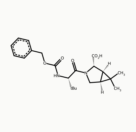 CC(C)(C)[C@H](NC(=O)OCc1ccccc1)C(=O)N1C[C@H]2[C@@H]([C@H]1C(=O)O)C2(C)C